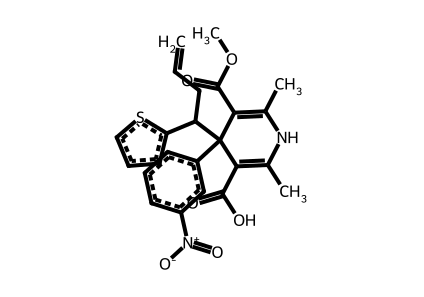 C=CCC(c1cccs1)C1(c2cccc([N+](=O)[O-])c2)C(C(=O)O)=C(C)NC(C)=C1C(=O)OC